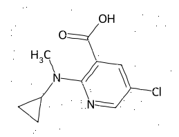 CN(c1ncc(Cl)cc1C(=O)O)C1CC1